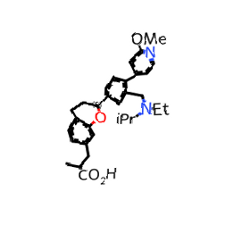 CCN(Cc1cc([C@@H]2CCc3ccc(CC(C)C(=O)O)cc3O2)ccc1-c1ccnc(OC)c1)C(C)C